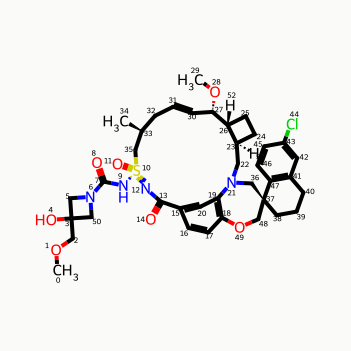 COCC1(O)CN(C(=O)N[S@@]2(=O)=NC(=O)c3ccc4c(c3)N(C[C@@H]3CC[C@H]3[C@@H](OC)/C=C/C[C@H](C)C2)C[C@@]2(CCCc3cc(Cl)ccc32)CO4)C1